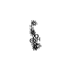 O=C(NCC(=O)N1CCN(CCCc2ccccc2)CC1)C1=Cc2cnc3cccc(n23)S1